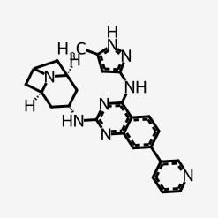 Cc1cc(Nc2nc(N[C@@H]3C[C@H]4CC5C[C@@H](C3)N54)nc3cc(-c4cccnc4)ccc23)n[nH]1